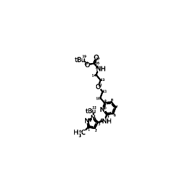 Cc1cc(Nc2cccc(CCOCCNC(=O)OC(C)(C)C)n2)n(C(C)(C)C)n1